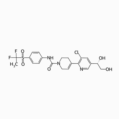 CC(F)(F)S(=O)(=O)c1ccc(NC(=O)N2CC=C(c3ncc([C@H](O)CO)cc3Cl)CC2)cc1